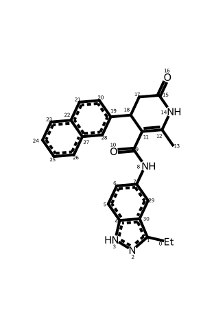 CCc1n[nH]c2ccc(NC(=O)C3=C(C)NC(=O)CC3c3ccc4ccccc4c3)cc12